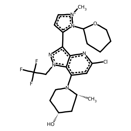 C[C@@H]1C[C@H](O)CCN1c1cc(Cl)nc2c(-c3cc[n+](C)n3C3CCCCO3)nn(CC(F)(F)F)c12